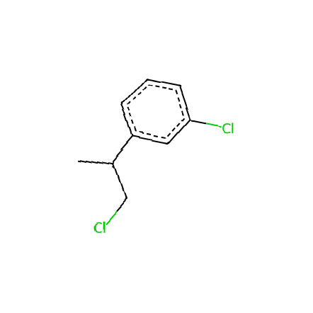 C[C](CCl)c1cccc(Cl)c1